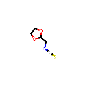 S=C=NCC1OCCO1